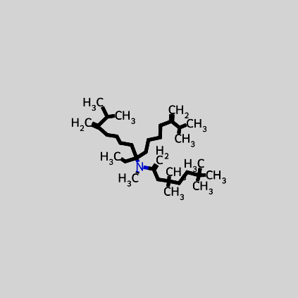 C=C(CCCCC(CC)(CCCCC(=C)C(C)C)N(C)C(=C)CC(C)(C)CCC(C)(C)C)C(C)C